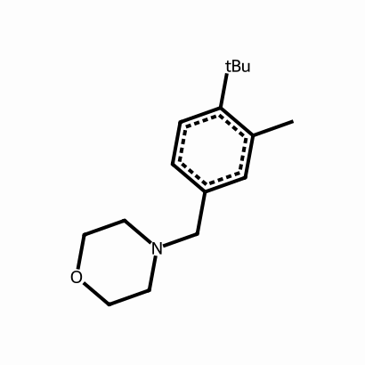 Cc1cc(CN2CCOCC2)ccc1C(C)(C)C